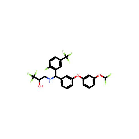 OC(CNC(c1cccc(Oc2cccc(OC(F)F)c2)c1)c1cc(C(F)(F)F)ccc1F)C(F)(F)F